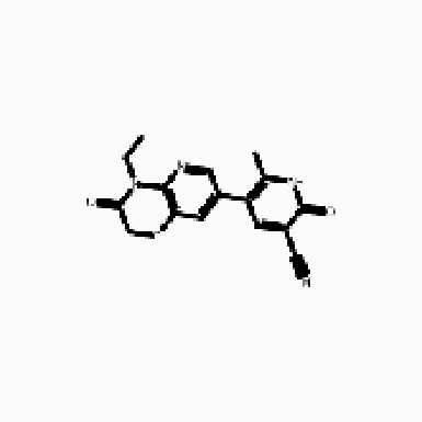 CCN1C(=O)COc2cc(-c3cc(C#N)c(=O)[nH]c3C)cnc21